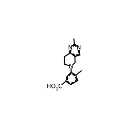 Cc1ncc2c(n1)CCN(c1cc(C(=O)O)ccc1C)C2